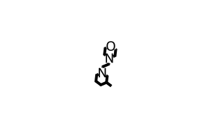 CC1CCCN(CCN2CCOCC2)C1